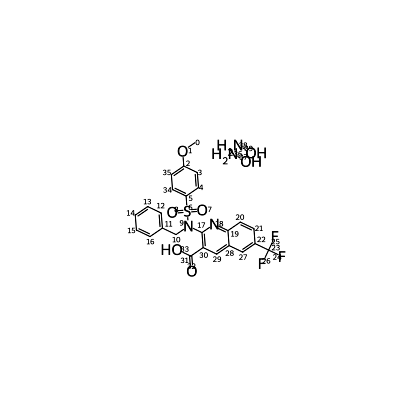 COc1ccc(S(=O)(=O)N(Cc2ccccc2)c2nc3ccc(C(F)(F)F)cc3cc2C(=O)O)cc1.NO.NO